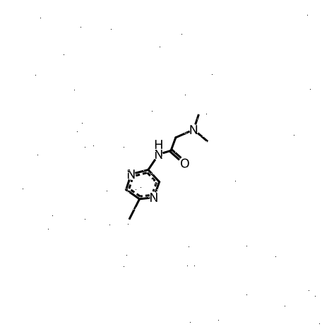 Cc1cnc(NC(=O)CN(C)C)cn1